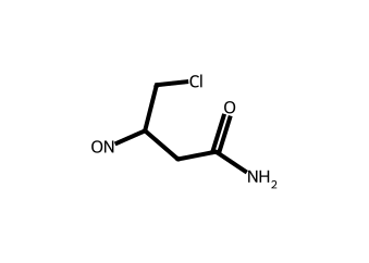 NC(=O)CC(CCl)N=O